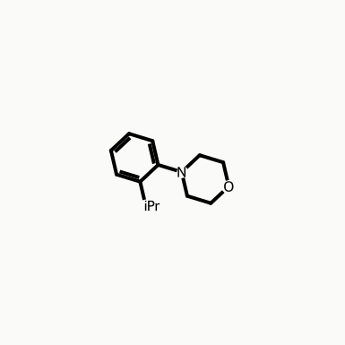 CC(C)c1ccccc1N1CCOCC1